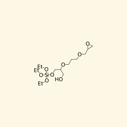 CCO[Si](OCC)(OCC)OCC(CO)OCCCOCC1CO1